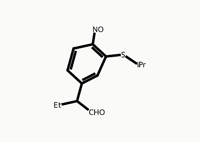 CCC(C=O)c1ccc(N=O)c(SC(C)C)c1